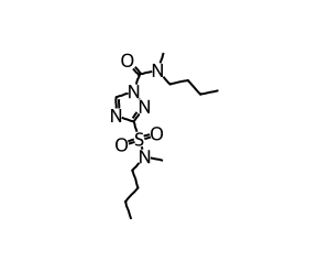 CCCCN(C)C(=O)n1cnc(S(=O)(=O)N(C)CCCC)n1